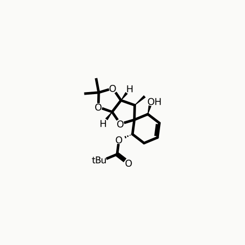 C[C@@H]1[C@H]2OC(C)(C)O[C@H]2OC12[C@@H](OC(=O)C(C)(C)C)CC=C[C@@H]2O